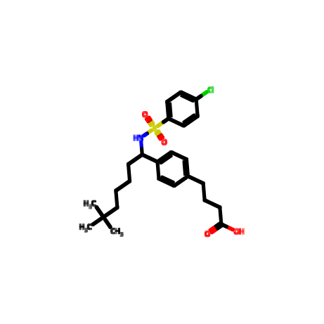 CC(C)(C)CCCCC(NS(=O)(=O)c1ccc(Cl)cc1)c1ccc(CCCC(=O)O)cc1